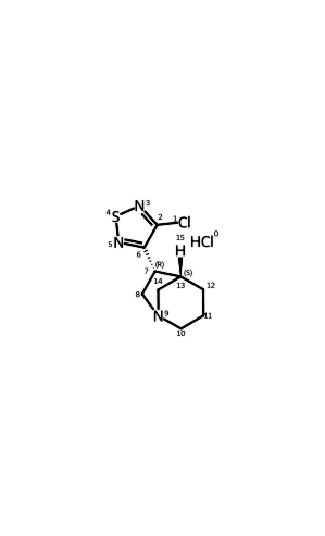 Cl.Clc1nsnc1[C@H]1CN2CCC[C@@H]1C2